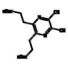 CCCCCCCCCCCCc1nc(C#N)c(C#N)nc1CCCCCCCCCCCC